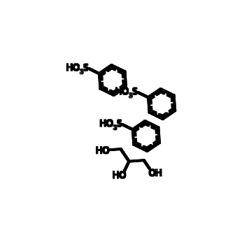 O=S(=O)(O)c1ccccc1.O=S(=O)(O)c1ccccc1.O=S(=O)(O)c1ccccc1.OCC(O)CO